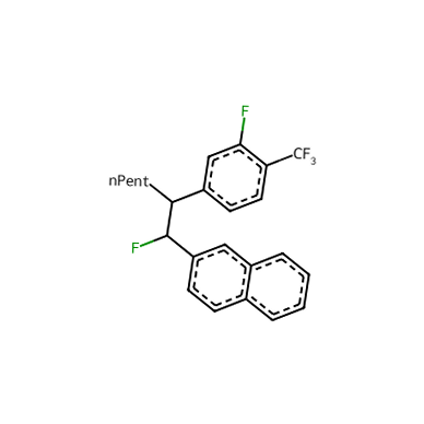 CCCCCC(c1ccc(C(F)(F)F)c(F)c1)C(F)c1ccc2ccccc2c1